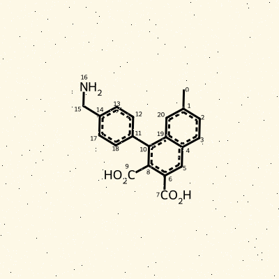 Cc1ccc2cc(C(=O)O)c(C(=O)O)c(-c3ccc(CN)cc3)c2c1